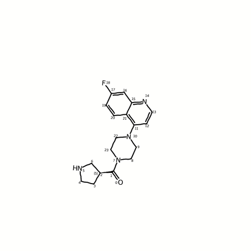 O=C([C@H]1CCNC1)N1CCN(c2ccnc3cc(F)ccc23)CC1